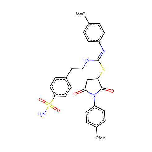 COc1ccc(/N=C(\NCCc2ccc(S(N)(=O)=O)cc2)SC2CC(=O)N(c3ccc(OC)cc3)C2=O)cc1